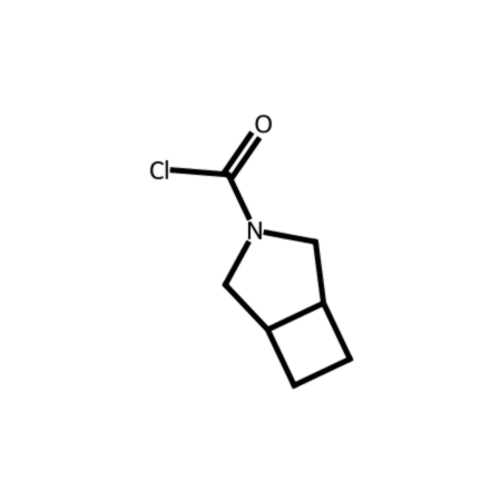 O=C(Cl)N1CC2CCC2C1